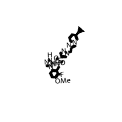 COc1ccc(N2C=NNN2)c(CNS(=O)(=O)c2cnn(Cc3cn4cc(C5CC5)ccc4n3)c2)c1F